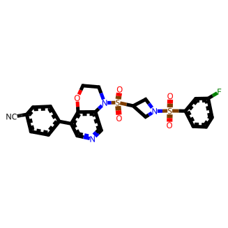 N#Cc1ccc(-c2cncc3c2OCCN3S(=O)(=O)C2CN(S(=O)(=O)c3cccc(F)c3)C2)cc1